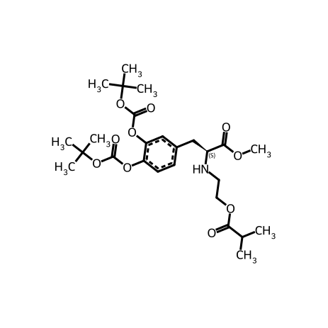 COC(=O)[C@H](Cc1ccc(OC(=O)OC(C)(C)C)c(OC(=O)OC(C)(C)C)c1)NCCOC(=O)C(C)C